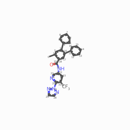 Cc1cc(-c2ccccc2)c(-c2ccccc2)cc1C(=O)Nc1cnc(-n2nccn2)c(C(F)(F)F)c1